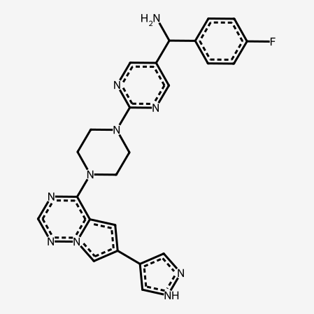 NC(c1ccc(F)cc1)c1cnc(N2CCN(c3ncnn4cc(-c5cn[nH]c5)cc34)CC2)nc1